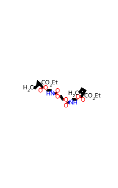 C=CC1CC1(C(=O)OCC)C(=O)OCCNC(=O)OCCOC(=O)NCCOC(=O)C1(C(=O)OCC)CCC1=C